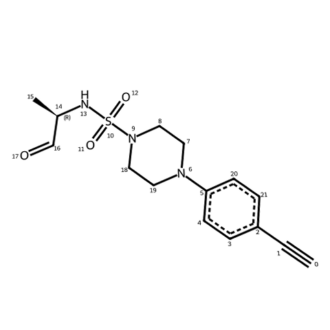 C#Cc1ccc(N2CCN(S(=O)(=O)N[C@H](C)C=O)CC2)cc1